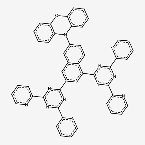 c1ccc(-c2nc(-c3cc(-c4nc(-c5ccccn5)nc(-c5ccccn5)n4)c4ccc(N5c6ccccc6Oc6ccccc65)cc4c3)nc(-c3ccccn3)n2)nc1